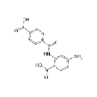 Nc1ccc(C(=O)O)c(NC(=O)c2ccc(C(=O)O)cc2)c1